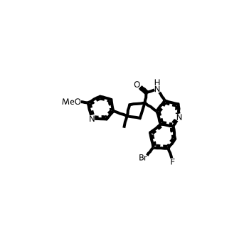 COc1ccc(C2(C)CC3(C2)C(=O)Nc2cnc4cc(F)c(Br)cc4c23)cn1